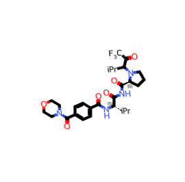 CC(C)C(C(=O)C(F)(F)F)N1CCC[C@H]1C(=O)NC(=O)[C@@H](NC(=O)c1ccc(C(=O)N2CCOCC2)cc1)C(C)C